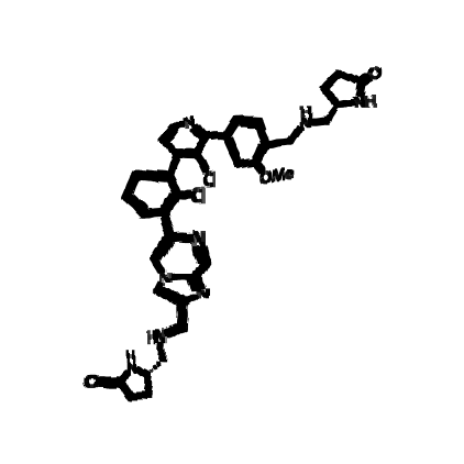 COc1cc(-c2nccc(-c3cccc(-c4cn5cc(CNC[C@@H]6CCC(=O)N6)nc5cn4)c3Cl)c2Cl)ccc1CNC[C@H]1CCC(=O)N1